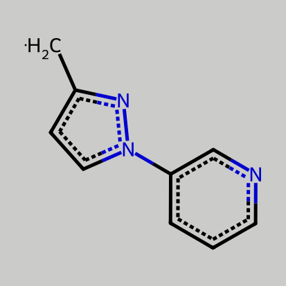 [CH2]c1ccn(-c2cccnc2)n1